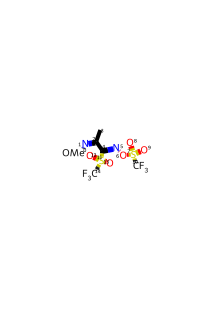 CON=C(C)C(=NOS(=O)(=O)C(F)(F)F)S(=O)(=O)C(F)(F)F